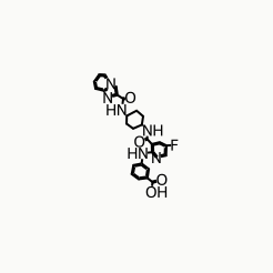 O=C(O)c1cccc(Nc2ncc(F)cc2C(=O)N[C@H]2CC[C@@H](NC(=O)c3cn4ccccc4n3)CC2)c1